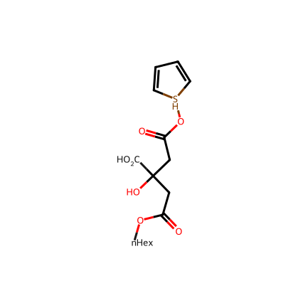 CCCCCCOC(=O)CC(O)(CC(=O)O[SH]1C=CC=C1)C(=O)O